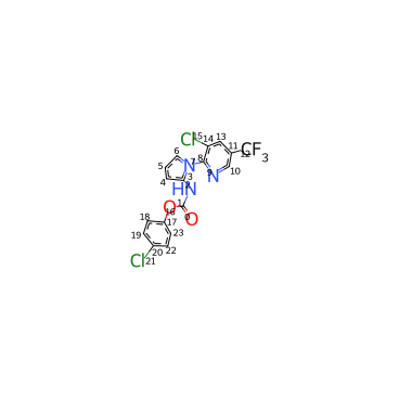 O=C(Nc1cccn1-c1ncc(C(F)(F)F)cc1Cl)Oc1ccc(Cl)cc1